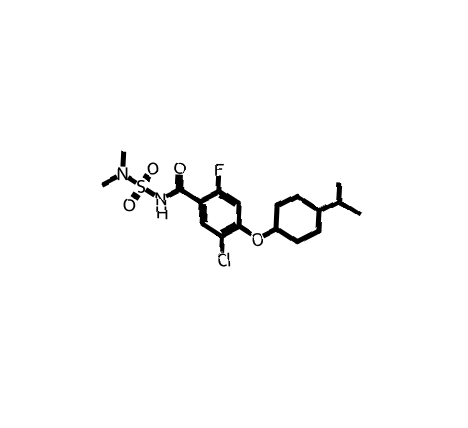 CC(C)C1CCC(Oc2cc(F)c(C(=O)NS(=O)(=O)N(C)C)cc2Cl)CC1